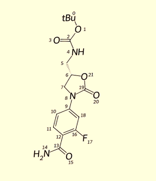 CC(C)(C)OC(=O)NC[C@H]1CN(c2ccc(C(N)=O)c(F)c2)C(=O)O1